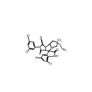 CCCCO[C@@]1(C)CC2C3C(=O)N(c4cc(Cl)cc(Cl)c4)C(=O)C3C3(C(=O)Nc4c(Cl)cc(Cl)cc43)N2C1